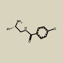 CC(C)[C@H](N)CNC(=O)c1ccc(Cl)cc1